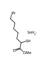 COC(=O)C(S)CCCCCC(C)C.[SnH2]